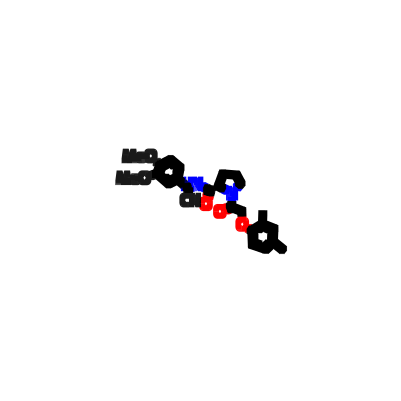 COc1ccc(C(C#N)NC(=O)[C@@H]2CCCN2C(=O)COc2ccc(C)cc2C)cc1OC